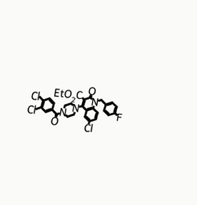 CCOC(=O)c1c(N2CCN(C(=O)c3ccc(Cl)c(Cl)c3)CC2)c2cc(Cl)ccc2n(Cc2ccc(F)cc2)c1=O